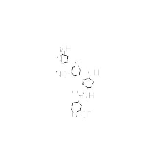 Cc1ccc(NC(=O)c2ccnc(C(F)(F)F)c2)cc1-c1cnc(-c2cnn(C)c2)c(C#N)c1